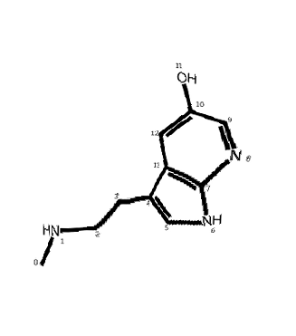 CNCCc1c[nH]c2ncc(O)cc12